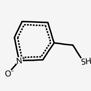 [O-][n+]1cccc(CS)c1